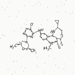 C[C@@H]1CN(c2ncc(Cl)c(Nc3ccc4c(c3)c3c(c(=O)n4C)C(=O)OCC(C4CC4)N3)n2)C[C@H](C)O1